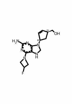 Nc1nc(N2CC(F)C2)c2c(n1)N([C@H]1C=C[C@@H](CO)C1)CN2